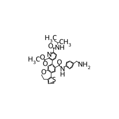 CCC(C)NC(=O)c1ccc(-c2cc3c(cc2C(=O)Nc2ccc(CN)cc2)-c2sccc2CCO3)c(C(=O)OC)n1